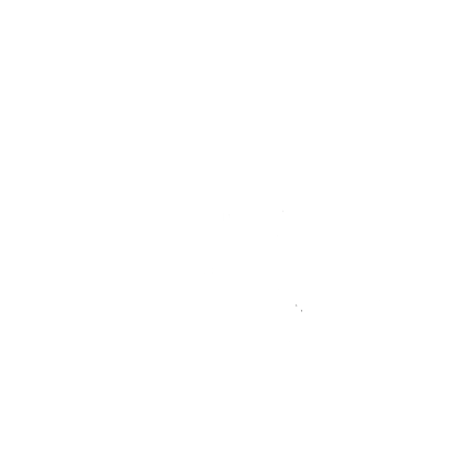 Cc1ccc(N(c2cc3c4c(c2)Oc2cc(-c5ccccc5)ccc2B4c2ccc(-c4ccccc4)cc2O3)c2ccc(C)cc2C)c(C)c1